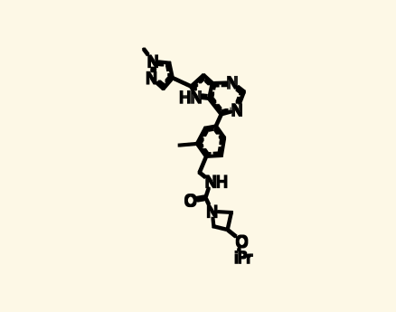 Cc1cc(-c2ncnc3cc(-c4cnn(C)c4)[nH]c23)ccc1CNC(=O)N1CC(OC(C)C)C1